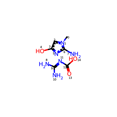 Cn1cc(O)nc1N.NC(N)=NC(=O)O